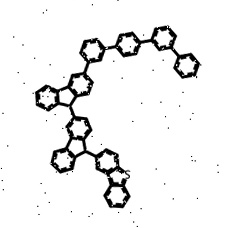 c1ccc(-c2cccc(-c3ccc(-c4cccc(-c5ccc6c(c5)-c5ccccc5C6c5ccc6c(c5)-c5ccccc5C6c5ccc6sc7ccccc7c6c5)c4)cc3)c2)cc1